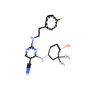 CC1(C)C[C@H](Nc2nc(NCCc3ccc(F)cc3)ncc2C#N)CC[C@@H]1O